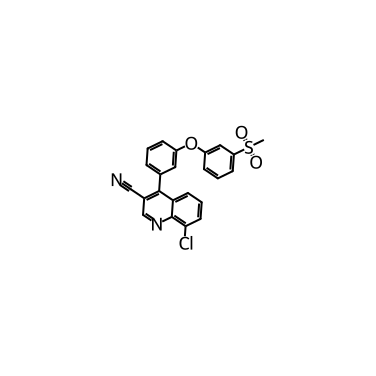 CS(=O)(=O)c1cccc(Oc2cccc(-c3c(C#N)cnc4c(Cl)cccc34)c2)c1